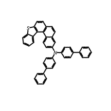 c1ccc(-c2ccc(N(c3ccc(-c4ccccc4)cc3)c3ccc4c(ccc5ccc6sc7ccccc7c6c54)c3)cc2)cc1